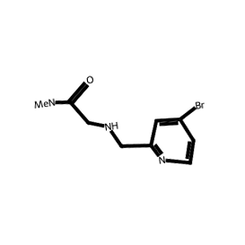 CNC(=O)CNCc1cc(Br)ccn1